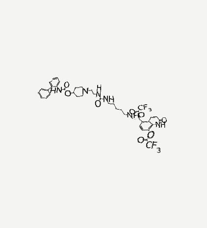 O=C(NCCCCCNC[C@H](OC(=O)C(F)(F)F)c1ccc(OC(=O)C(F)(F)F)c2[nH]c(=O)ccc12)NCCN1CCC(OC(=O)Nc2ccccc2-c2ccccc2)CC1